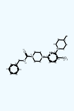 CC1CCN(c2nc(N3CCN(C(=O)OCc4ccccc4)CC3)ccc2[N+](=O)[O-])CC1